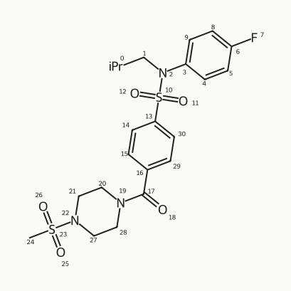 CC(C)CN(c1ccc(F)cc1)S(=O)(=O)c1ccc(C(=O)N2CCN(S(C)(=O)=O)CC2)cc1